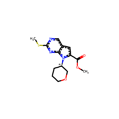 COC(=O)c1cc2cnc(SC)nc2n1[C@@H]1CCCOC1